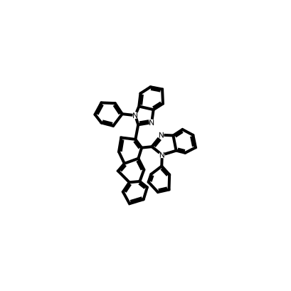 c1ccc(-n2c(-c3ccc4cc5ccccc5cc4c3-c3nc4ccccc4n3-c3ccccc3)nc3ccccc32)cc1